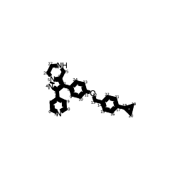 c1cc(-c2nn3c(c2-c2ccc(OCc4ccc(C5CC5)cc4)cc2)CNCC3)ccn1